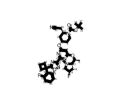 C[C@H](Oc1cc(O[C@H]2CCN(C(=O)OC(C)(C)C)[C@H](CC#N)C2)nc(-c2noc(C3(c4c(F)cccc4F)CCC3)n2)n1)[C@@H]1C[C@@H](F)CN1C